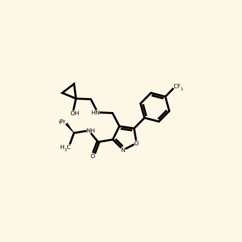 CC(C)[C@H](C)NC(=O)c1noc(-c2ccc(C(F)(F)F)cc2)c1CNCC1(O)CC1